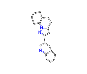 c1ccc2ncc(-c3cc4ccc5ccccc5n4n3)cc2c1